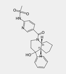 CS(=O)(=O)Nc1ccc(C(=O)N2CCC(O)(c3ccccc3)[C@H]3CCCC[C@H]32)cn1